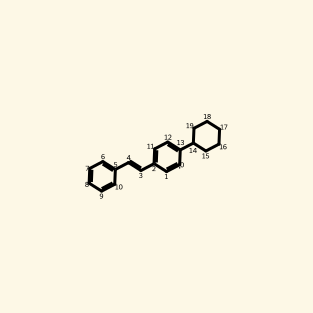 [c]1cc(/C=C/c2ccccc2)ccc1C1CCCCC1